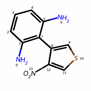 Nc1cccc(N)c1-c1cscc1[N+](=O)[O-]